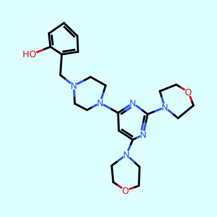 Oc1ccccc1CN1CCN(c2cc(N3CCOCC3)nc(N3CCOCC3)n2)CC1